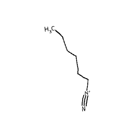 CCCCCC[N+]#N